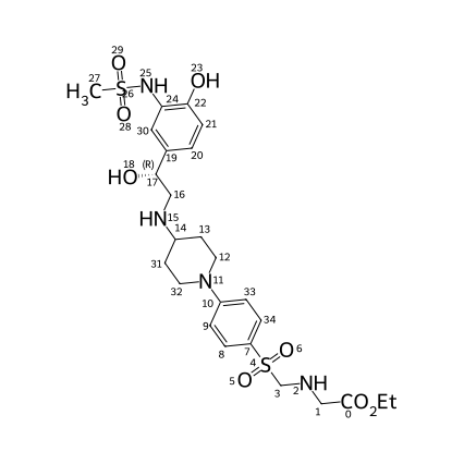 CCOC(=O)CNCS(=O)(=O)c1ccc(N2CCC(NC[C@H](O)c3ccc(O)c(NS(C)(=O)=O)c3)CC2)cc1